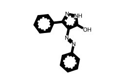 Oc1[nH]nc(-c2ccccc2)c1N=Nc1ccccc1